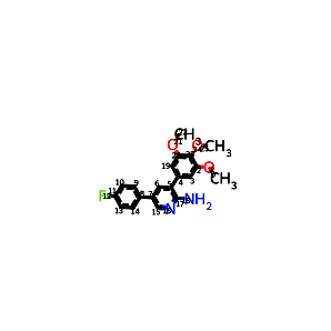 COc1cc(-c2cc(-c3ccc(F)cc3)cnc2N)cc(OC)c1OC